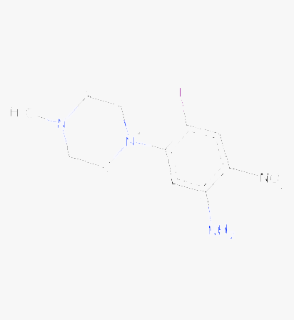 CN1CCN(c2cc(N)c([N+](=O)[O-])cc2I)CC1